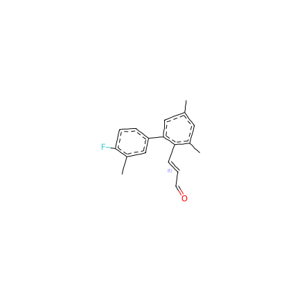 Cc1cc(C)c(/C=C/C=O)c(-c2ccc(F)c(C)c2)c1